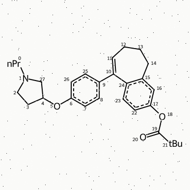 CCCN1CCC(Oc2ccc(C3=CCCCc4cc(OC(=O)C(C)(C)C)ccc43)cc2)C1